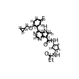 CCC(=O)N[C@@H]1CC[C@H](NC(=O)c2c(C)[nH]c3c(-c4cc(F)ccc4OCC4CC4)ncnc23)C1